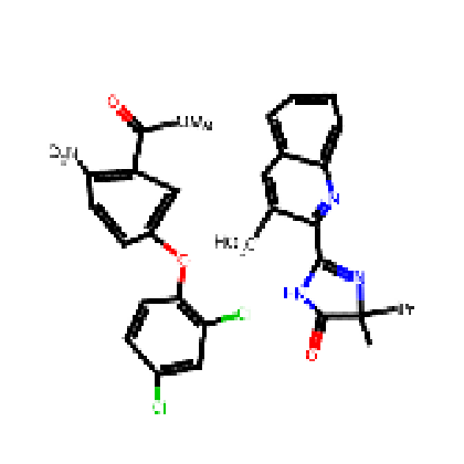 CC(C)C1(C)N=C(c2nc3ccccc3cc2C(=O)O)NC1=O.COC(=O)c1cc(Oc2ccc(Cl)cc2Cl)ccc1[N+](=O)[O-]